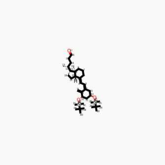 C=C1/C(=C\C=C2/CCC[C@]3(C)[C@@H]([C@H](C)CCC=O)CC[C@@H]23)C[C@@H](O[Si](C)(C)C(C)(C)C)C[C@@H]1O[Si](C)(C)C(C)(C)C